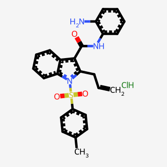 C=CCc1c(C(=O)Nc2ccccc2N)c2ccccc2n1S(=O)(=O)c1ccc(C)cc1.Cl